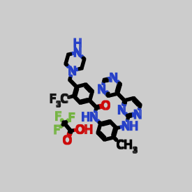 Cc1ccc(NC(=O)c2ccc(CN3CCNCC3)c(C(F)(F)F)c2)cc1Nc1nccc(-c2cncnc2)n1.O=C(O)C(F)(F)F